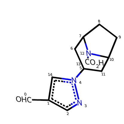 O=Cc1cnn(C2CC3CCC(C2)N3C(=O)O)c1